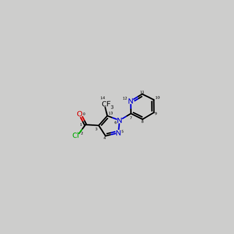 O=C(Cl)c1cnn(-c2ccccn2)c1C(F)(F)F